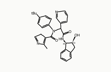 CC1=C(C(=O)N(c2ccc(C(C)(C)C)cc2)C(C(=O)N[C@@H]2c3ccccc3C[C@@H]2O)c2cccnc2)CC=N1